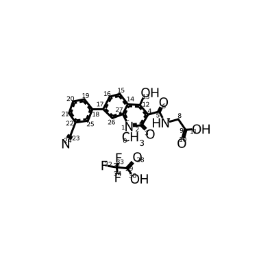 Cn1c(=O)c(C(=O)NCC(=O)O)c(O)c2ccc(-c3cccc(C#N)c3)cc21.O=C(O)C(F)(F)F